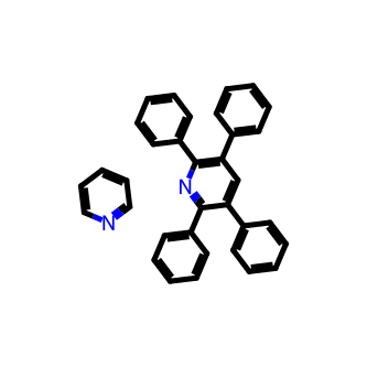 c1ccc(-c2cc(-c3ccccc3)c(-c3ccccc3)nc2-c2ccccc2)cc1.c1ccncc1